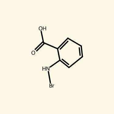 O=C(O)c1ccccc1NBr